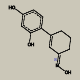 O/N=C1/C=C(c2ccc(O)cc2O)CCC1